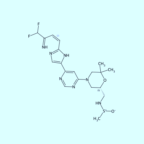 C[S+]([O-])NC[C@@H]1CN(c2cc(-c3cnc(/C=C\C(=N)C(F)F)[nH]3)ncn2)CC(C)(C)O1